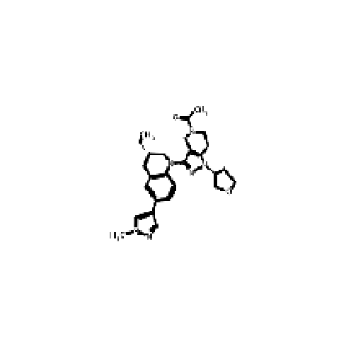 CC[C@H]1Cc2cc(-c3cnn(C)c3)ccc2N(c2nn([C@H]3CCOC3)c3c2CN(C(C)=O)CC3)C1